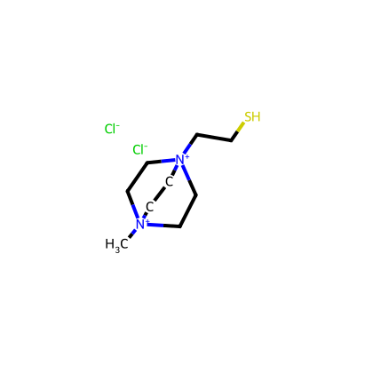 C[N+]12CC[N+](CCS)(CC1)CC2.[Cl-].[Cl-]